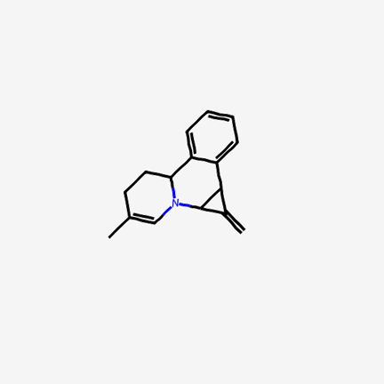 C=C1C2c3ccccc3C3CCC(C)=CN3C12